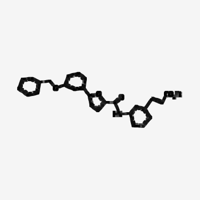 CCOC(=O)C=Cc1cccc(NC(=O)c2ccc(-c3cccc(OCc4ccccc4)c3)o2)c1